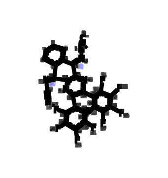 [C-]#[N+]/N=C1\c2ccccc2/C(=N/C#N)c2nc(-c3c(F)c(F)c(F)c(F)c3F)c(-c3c(F)c(F)c(F)c(F)c3F)nc21